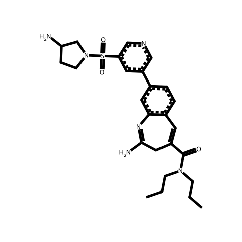 CCCN(CCC)C(=O)C1=Cc2ccc(-c3cncc(S(=O)(=O)N4CCC(N)C4)c3)cc2N=C(N)C1